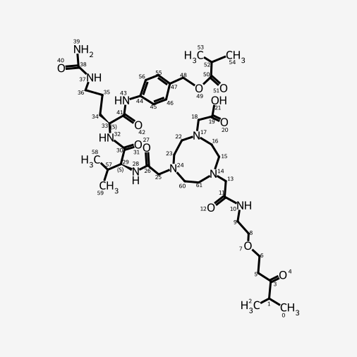 CC(C)C(=O)CCOCCNC(=O)CN1CCN(CC(=O)O)CCN(CC(=O)N[C@H](C(=O)N[C@@H](CCCNC(N)=O)C(=O)Nc2ccc(COC(=O)C(C)C)cc2)C(C)C)CC1